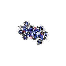 CCCCN(C1=NN(OC2CC(C)(C)N(C)C(C)(C)C2)NC(NCCN(CCN(CCNC2=CC(N(CCCC)C3CC(C)(C)N(C)C(C)(C)C3)=NN(OC3CC(C)(C)N(C)C(C)(C)C3)N2)C2=CC(N(CCCC)C3CC(C)(C)N(C)C(C)(C)C3)=NN(OC3CC(C)(C)N(C)C(C)(C)C3)N2)C2=CC(N(CCCC)C3CC(C)(C)N(C)C(C)(C)C3)=NN(OC3CC(C)(C)N(C)C(C)(C)C3)N2)=C1)C1CC(C)(C)N(C)C(C)(C)C1